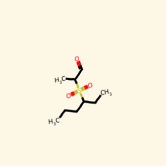 CCCC(CC)S(=O)(=O)C(C)C=O